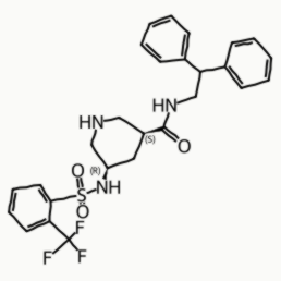 O=C(NCC(c1ccccc1)c1ccccc1)[C@@H]1CNC[C@H](NS(=O)(=O)c2ccccc2C(F)(F)F)C1